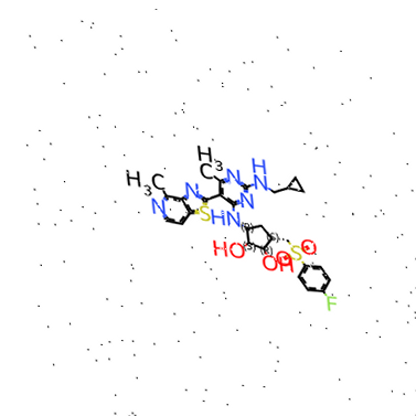 Cc1nc(NCC2CC2)nc(N[C@@H]2C[C@H](CS(=O)(=O)c3ccc(F)cc3)[C@@H](O)[C@H]2O)c1-c1nc2c(C)nccc2s1